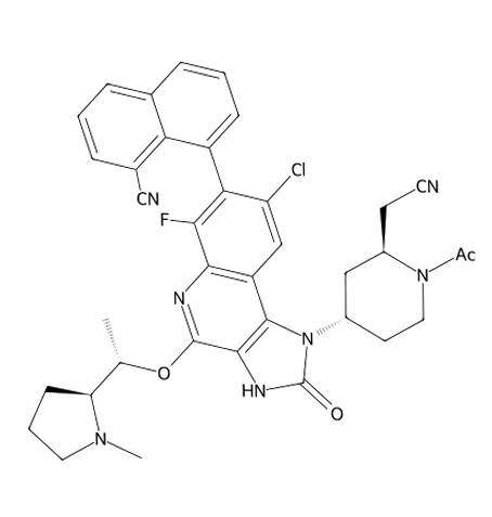 CC(=O)N1CC[C@H](n2c(=O)[nH]c3c(O[C@@H](C)[C@@H]4CCCN4C)nc4c(F)c(-c5cccc6cccc(C#N)c56)c(Cl)cc4c32)C[C@H]1CC#N